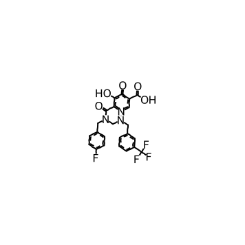 O=C(O)c1cn2c(c(O)c1=O)C(=O)N(Cc1ccc(F)cc1)CN2Cc1cccc(C(F)(F)F)c1